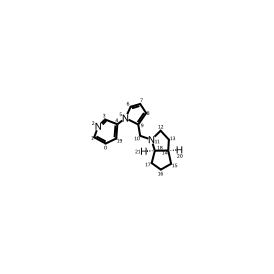 c1cncc(-n2cccc2CN2CC[C@H]3CCC[C@H]32)c1